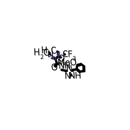 C=N/C=C(C(=O)NCc1n[nH]c(-c2ccccc2OC)n1)\C(=C/C)OC(F)(F)F